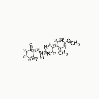 COc1cc(C)c(-c2cnc(NCc3c(F)cccc3F)nc2)cn1